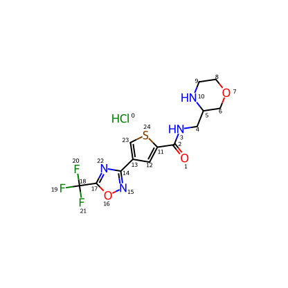 Cl.O=C(NCC1COCCN1)c1cc(-c2noc(C(F)(F)F)n2)cs1